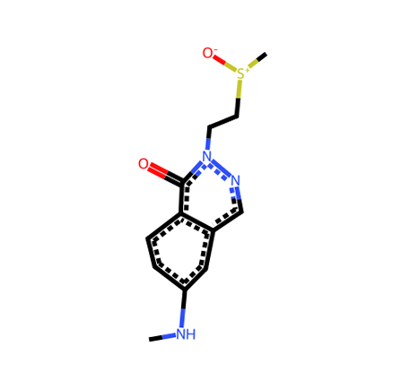 CNc1ccc2c(=O)n(CC[S+](C)[O-])ncc2c1